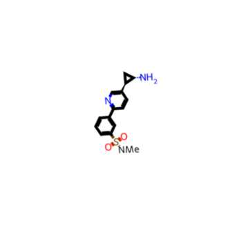 CNS(=O)(=O)c1cccc(-c2ccc([C@H]3C[C@@H]3N)cn2)c1